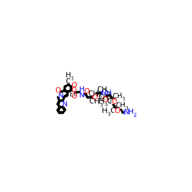 CC[C@@]1(OC(=O)CNC(=O)CC(C)(C)OCC(C)(C)NC(=O)CC(C)(C)OCC(C)(C)OCCN)C(=O)C(C)Cc2c1cc1n(c2=O)Cc2cc3ccccc3nc2-1